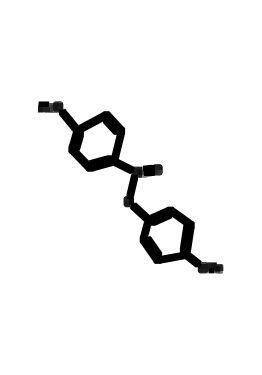 COc1ccc(O[PH](=O)c2ccc(OC)cc2)cc1